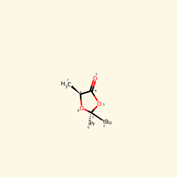 CC(C)[C@@]1(C(C)(C)C)OC(=O)[C@H](C)O1